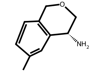 Cc1ccc2c(c1)[C@@H](N)COC2